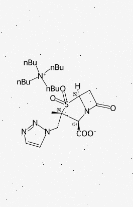 CCCC[N+](CCCC)(CCCC)CCCC.C[C@]1(Cn2ccnn2)[C@H](C(=O)[O-])N2C(=O)C[C@@H]2S1(=O)=O